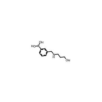 OCCCNCc1cccc(B(O)O)c1